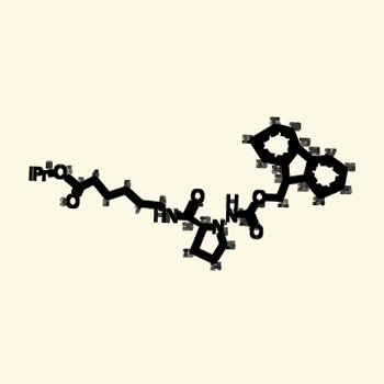 CC(C)OC(=O)CCCCCNC(=O)[C@@H]1CCCN1NC(=O)OCC1c2ccccc2-c2ccccc21